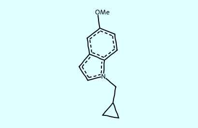 COc1ccc2c(ccn2CC2CC2)c1